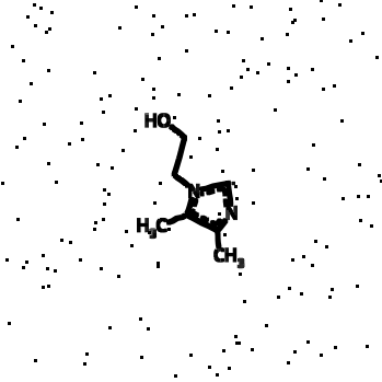 Cc1n[c]n(CCO)c1C